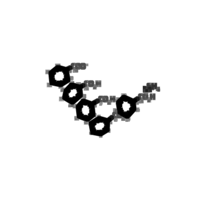 O=C(O)c1ccccc1.O=C(O)c1ccccc1.O=C(O)c1ccccc1.O=C(O)c1ccccc1.O=C([O-])c1ccccc1.[Na+].[SiH4]